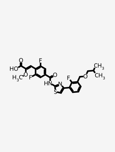 CO/C(=C\c1c(F)cc(C(=O)Nc2nc(-c3cccc(COCC(C)C)c3F)cs2)cc1F)C(=O)O